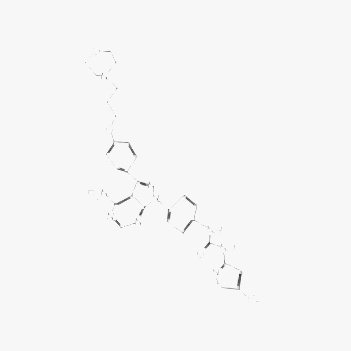 CC(C)(C)c1cc(NC(=O)Nc2ccc(-n3nc(-c4ccc(OCCCN5CCOCC5)cc4)c4c(N)ncnc43)cc2)no1